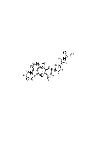 C=CC(=O)N1CC(N2CC[C@H](c3cc(C)c4c(c3)Nc3ncnc(N5CCOCC5)c3CO4)C2)C1